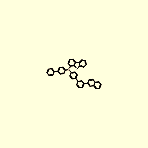 c1ccc(-c2ccc(N(c3ccc(-c4cccc(-c5ccc6ccccc6c5)c4)cc3)c3cccc4c3sc3ccccc34)cc2)cc1